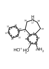 Cl.Nc1cc2c(cc1O)C(c1ccccc1)CNCC2